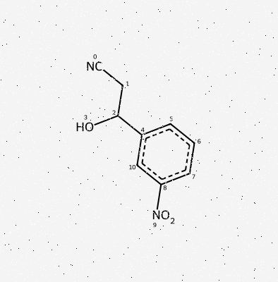 N#CCC(O)c1cccc([N+](=O)[O-])c1